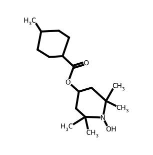 CC1CCC(C(=O)OC2CC(C)(C)N(O)C(C)(C)C2)CC1